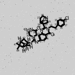 C[C@H]1[C@@H](NC(=Nc2ccc3c(=O)n(CCc4ccc(Cl)cc4)c(C4CN5CCC4CC5)nc3c2)N2CC(=O)N[C@@H](C)C2)C[C@@H]2C[C@@H]1C2(C)C